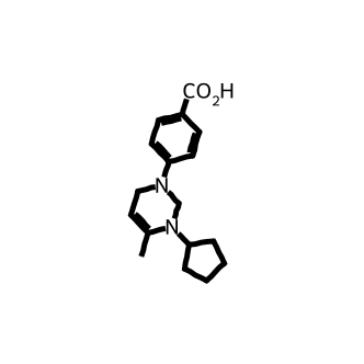 CC1=CCN(c2ccc(C(=O)O)cc2)CN1C1CCCC1